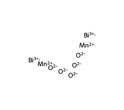 [Bi+3].[Bi+3].[Mn+2].[Mn+2].[O-2].[O-2].[O-2].[O-2].[O-2]